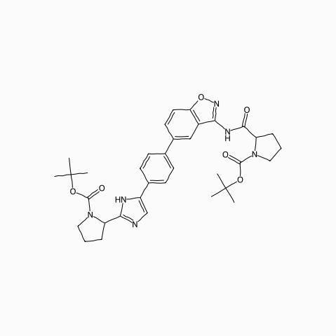 CC(C)(C)OC(=O)N1CCCC1C(=O)Nc1noc2ccc(-c3ccc(-c4cnc(C5CCCN5C(=O)OC(C)(C)C)[nH]4)cc3)cc12